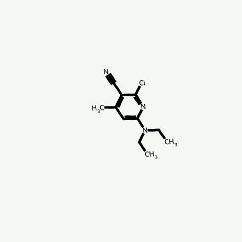 CCN(CC)c1cc(C)c(C#N)c(Cl)n1